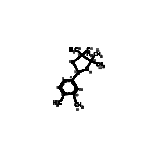 Cc1ccc(B2OC(C)(C)C(C)(C)O2)cc1C